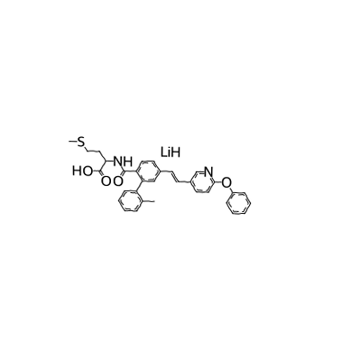 CSCCC(NC(=O)c1ccc(C=Cc2ccc(Oc3ccccc3)nc2)cc1-c1ccccc1C)C(=O)O.[LiH]